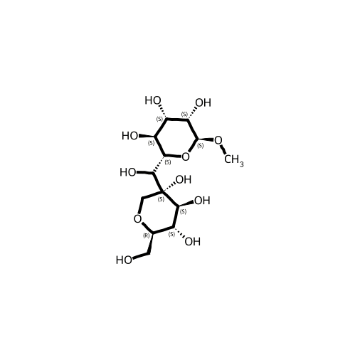 CO[C@H]1O[C@H](C(O)[C@]2(O)CO[C@H](CO)[C@@H](O)[C@@H]2O)[C@@H](O)[C@H](O)[C@@H]1O